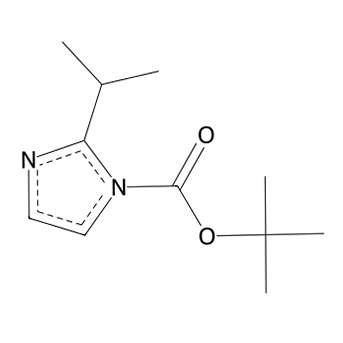 CC(C)c1nccn1C(=O)OC(C)(C)C